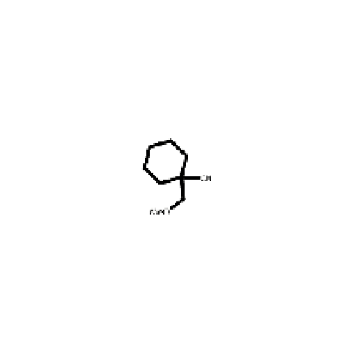 COCC1(C#N)CCCCC1